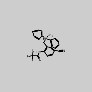 C[PH](Cc1cc(C#N)ccc1NC(=O)C(F)(F)F)(c1ccccc1)c1ccccc1